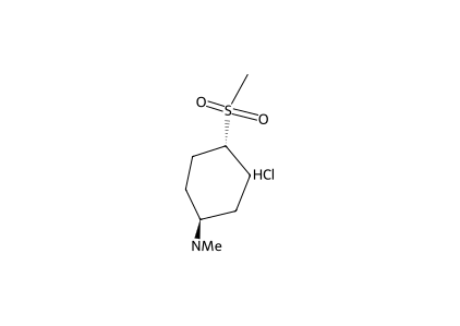 CN[C@H]1CC[C@H](S(C)(=O)=O)CC1.Cl